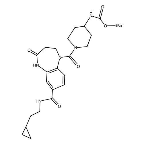 CC(C)(C)OC(=O)NC1CCN(C(=O)N2CCC(=O)Nc3cc(C(=O)NCCC4CC4)ccc32)CC1